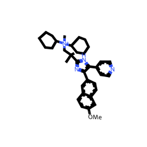 COc1ccc2cc(-c3nc(C(C)(C)C[N+](C)(C4CCCCC4)C4CCCCC4)[nH]c3-c3ccncc3)ccc2c1